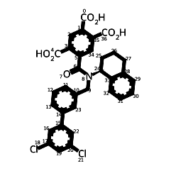 O=C(O)c1cc(C(=O)O)c(C(=O)N(Cc2cccc(-c3cc(Cl)cc(Cl)c3)c2)[C@H]2CCCc3ccccc32)cc1C(=O)O